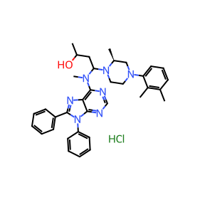 Cc1cccc(N2CCN(C(CC(C)O)N(C)c3ncnc4c3nc(-c3ccccc3)n4-c3ccccc3)[C@@H](C)C2)c1C.Cl